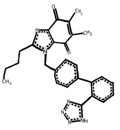 CCCCc1nc2c(n1Cc1ccc(-c3ccccc3-c3nnn[nH]3)cc1)C(=O)C(C)=C(C)C2=O